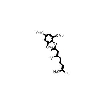 COc1cc(C=O)cc(OC)c1OC(=O)/C=C(\C)CCC=C(C)C